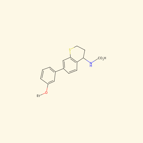 CCOc1cccc(-c2ccc3c(c2)SCCC3NC(=O)O)c1